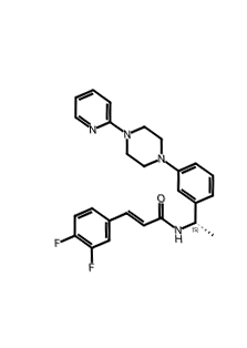 C[C@H](NC(=O)C=Cc1ccc(F)c(F)c1)c1cccc(N2CCN(c3ccccn3)CC2)c1